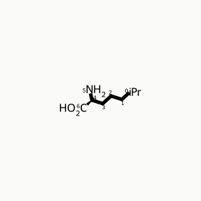 CC(C)CCC[C@H](N)C(=O)O